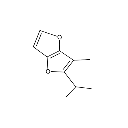 Cc1c(C(C)C)oc2ccoc12